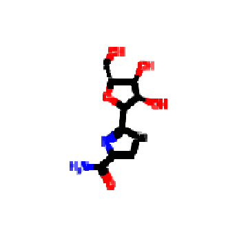 NC(=O)c1c[se]c(C2O[C@H](CO)[C@@H](O)[C@H]2O)n1